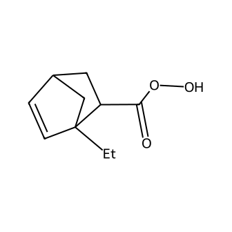 CCC12C=CC(CC1C(=O)OO)C2